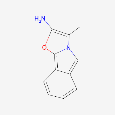 Cc1c(N)oc2c3ccccc3cn12